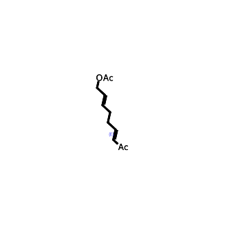 CC(=O)/C=C/CCC=CCOC(C)=O